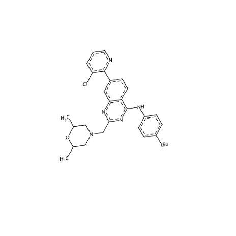 CC1CN(Cc2nc(Nc3ccc(C(C)(C)C)cc3)c3ccc(-c4ncccc4Cl)cc3n2)CC(C)O1